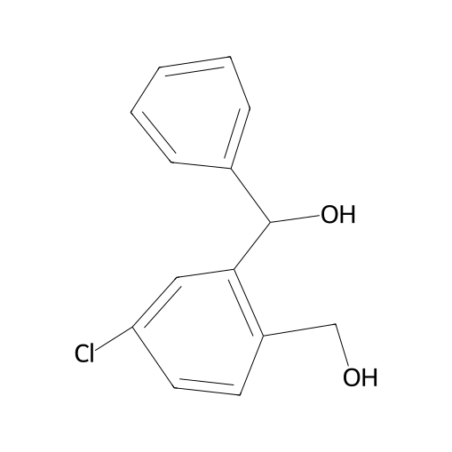 OCc1ccc(Cl)cc1C(O)c1ccccc1